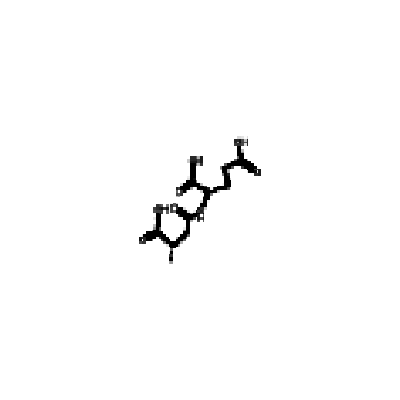 C[C@@H](CC(=O)N[C@H](CCC(=O)O)C(=O)O)C(=O)O